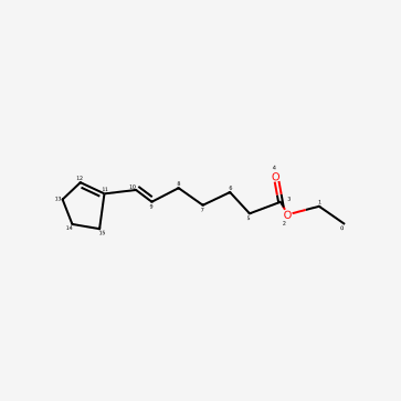 CCOC(=O)CCCCC=CC1=CCCC1